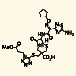 COC(=O)CCn1nnnc1SCC1(C(=O)O)CS[C@@H]2C(NC(=O)C(=NOC3CCCC3)c3nsc(N)n3)C(=O)N2C1